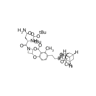 Cc1c(CCB2O[C@@H]3C[C@@H]4C[C@@H](C4(C)C)[C@]3(C)O2)ccc(OC2CN(C(=O)[C@@H](CC(N)=O)NC(=O)OC(C)(C)C)C2)c1C(=O)OC(C)(C)C